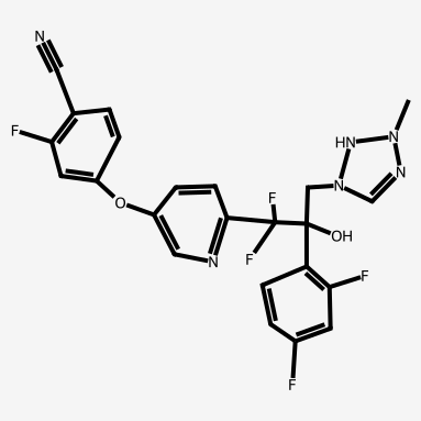 CN1N=CN(CC(O)(c2ccc(F)cc2F)C(F)(F)c2ccc(Oc3ccc(C#N)c(F)c3)cn2)N1